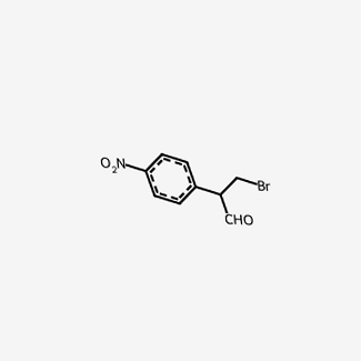 O=CC(CBr)c1ccc([N+](=O)[O-])cc1